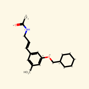 O=C(O)c1cc(C=CCNC(=O)C(F)(F)F)cc(OCC2CCCCC2)c1